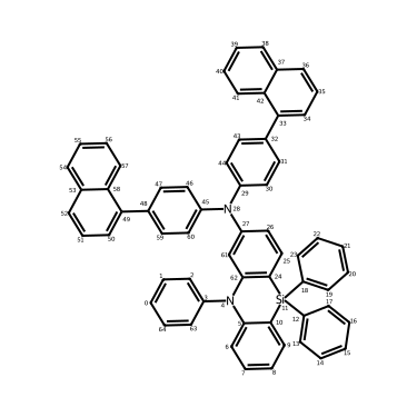 c1ccc(N2c3ccccc3[Si](c3ccccc3)(c3ccccc3)c3ccc(N(c4ccc(-c5cccc6ccccc56)cc4)c4ccc(-c5cccc6ccccc56)cc4)cc32)cc1